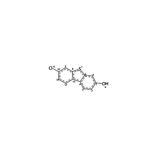 Oc1ccc2c(c1)sc1cc(Cl)ccc12